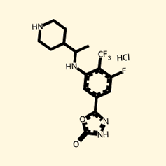 CC(Nc1cc(-c2n[nH]c(=O)o2)cc(F)c1C(F)(F)F)C1CCNCC1.Cl